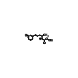 CC(CC=Cc1ccc[n+]([O-])c1)NC(=O)OC(C)(C)C